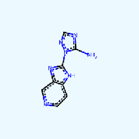 Nc1ncnn1-c1nc2cnccc2[nH]1